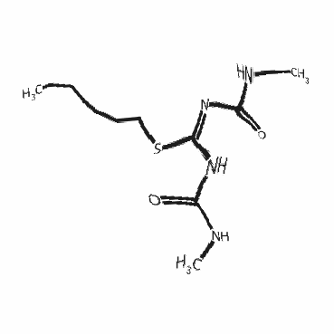 CCCCSC(=NC(=O)NC)NC(=O)NC